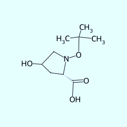 CC(C)(C)ON1CC(O)C[C@H]1C(=O)O